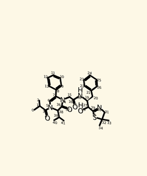 CC(C)C(=O)N1C=C(c2ccccc2)N(CC(=O)N[C@@H](Cc2ccccc2)C(O)C2=NCC(C)(C)S2)C(=O)C1C(C)C